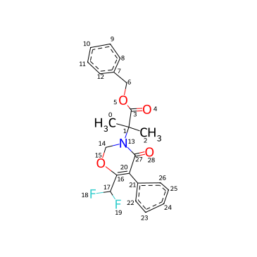 CC(C)(C(=O)OCc1ccccc1)N1COC(C(F)F)=C(c2ccccc2)C1=O